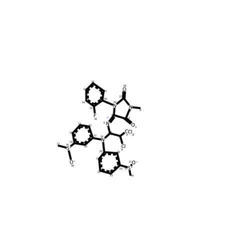 CN1C(=O)/C(=N\C(C(Cl)C(Cl)(Cl)Cl)N(c2cccc([S+](C)[O-])c2)c2cccc([S+](C)[O-])c2)N(c2ccccc2F)C1=O